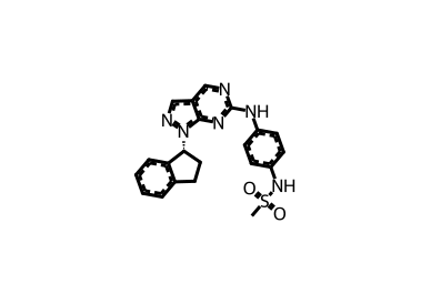 CS(=O)(=O)Nc1ccc(Nc2ncc3cnn([C@@H]4CCc5ccccc54)c3n2)cc1